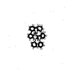 c1ccc(N2c3cccc4c3B(c3c2n(-c2ccccc2)c2ccccc32)n2c3ccccc3c3cccc-4c32)cc1